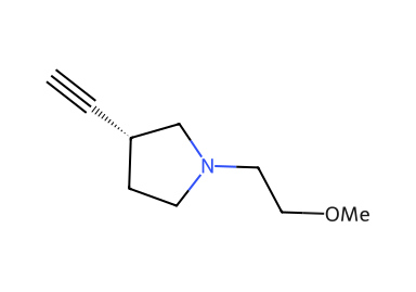 C#C[C@H]1CCN(CCOC)C1